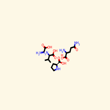 CC(C)C(N)C(=O)O.NC(=O)CCC(N)C(=O)O.NCC(=O)O.O=C(O)[C@@H]1CCCN1